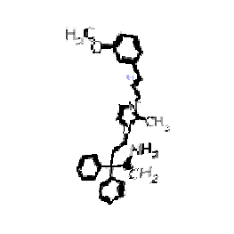 C=C(N)C(CCn1cc[n+](C/C=C/c2cccc(OC)c2)c1C)(c1ccccc1)c1ccccc1